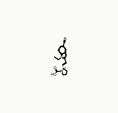 CCn1c(C=C[C@@H]2CCCN2C(=O)O)cc2cc(C#N)ccc21